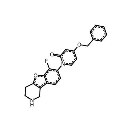 O=c1cc(OCc2ccccc2)ccn1-c1ccc2c3c(oc2c1F)CCNC3